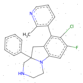 Cc1ncccc1-c1c(Cl)c(F)cc2c1CC1(c3ccccc3)CNCCN21